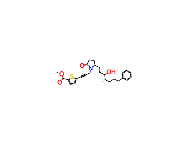 COC(=O)c1ccc(C#CCN2C(=O)CCC2C=C[C@@H](O)[C@@H](C)CCCc2ccccc2)s1